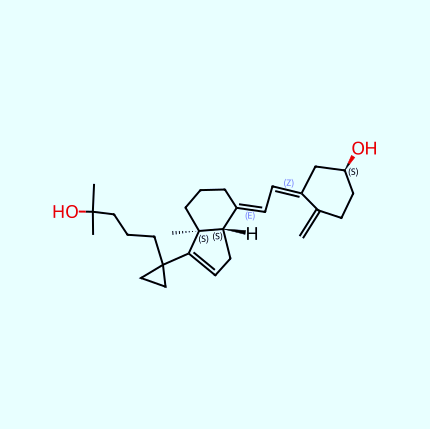 C=C1CC[C@H](O)C/C1=C/C=C1\CCC[C@]2(C)C(C3(CCCC(C)(C)O)CC3)=CC[C@@H]12